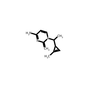 C=C1N=C(N)C=CN1C(C)C1C=C1C